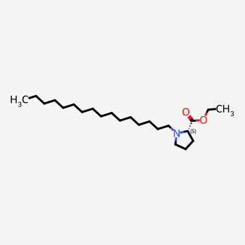 CCCCCCCCCCCCCCCCN1CCC[C@H]1C(=O)OCC